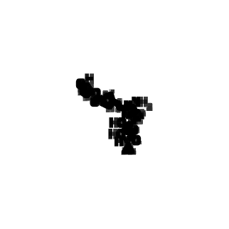 Nc1nc(CCC2CCN(C(=O)OC3CCC(=O)N3)CC2)nc2c1ncn2[C@@H]1O[C@H](C(=O)NC2CC2)C(O)C1O